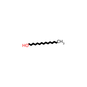 CCCCCCCCCCCC[CH]CCO